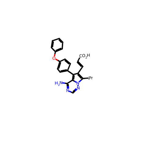 CC(C)c1c(C=CC(=O)O)c(-c2ccc(Oc3ccccc3)cc2)c2c(N)ncnn12